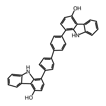 Oc1ccc(-c2ccc(-c3ccc(-c4ccc(O)c5c4[nH]c4ccccc45)cc3)cc2)c2[nH]c3ccccc3c12